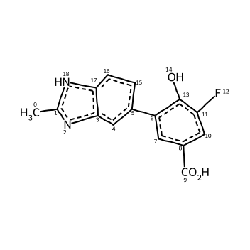 Cc1nc2cc(-c3cc(C(=O)O)cc(F)c3O)ccc2[nH]1